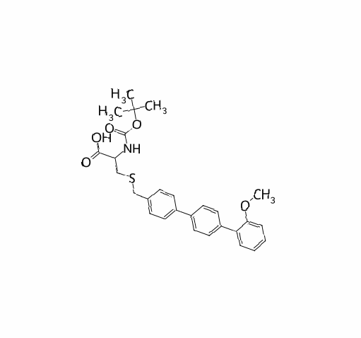 COc1ccccc1-c1ccc(-c2ccc(CSCC(NC(=O)OC(C)(C)C)C(=O)O)cc2)cc1